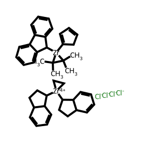 C1=CC2CC[CH]([Zr+4]3([CH]4CCC5C=CC=CC54)[CH2][CH2]3)C2C=C1.C[C]1(C)[C](C)(C)[Zr]1([C]1=CC=CC1)[CH]1c2ccccc2-c2ccccc21.[Cl-].[Cl-].[Cl-].[Cl-]